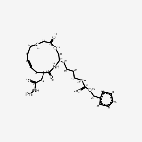 CC(C)NC(=O)C[C@H]1C/C=C\CCCCC(=O)OC[C@H](CCCCNC(=O)OCc2ccccc2)NC1=O